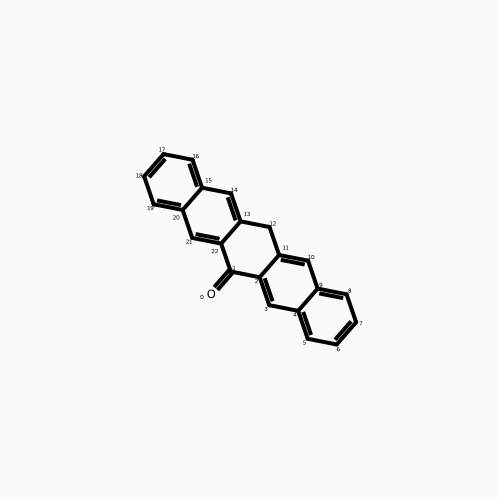 O=C1c2cc3ccccc3cc2Cc2cc3ccccc3cc21